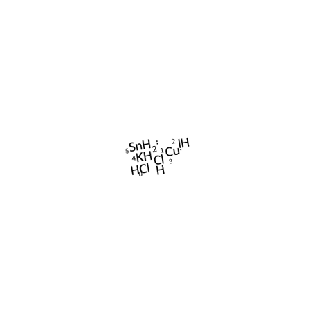 Cl.Cl.I.[Cu].[KH].[SnH2]